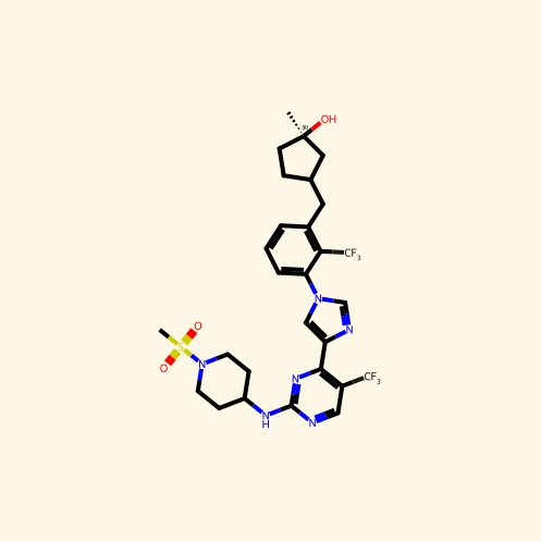 C[C@@]1(O)CCC(Cc2cccc(-n3cnc(-c4nc(NC5CCN(S(C)(=O)=O)CC5)ncc4C(F)(F)F)c3)c2C(F)(F)F)C1